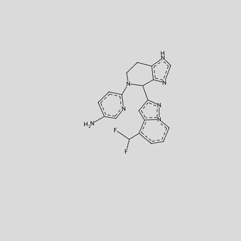 Nc1ccc(N2CCc3[nH]cnc3C2c2cc3c(C(F)F)cccn3n2)nc1